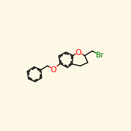 BrCC1CCc2cc(OCc3ccccc3)ccc2O1